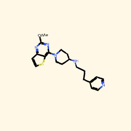 COc1nc(N2CCC(NCCCc3ccncc3)CC2)c2sccc2n1